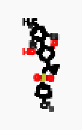 CCc1cc(C)cc(CC)c1C1=C(O)CC(C2(CS(=O)(=O)c3ccc(C(F)(F)F)cc3)CC2)CC1=O